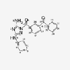 Nc1nc(Nc2ccccc2)nn1C(=O)c1cccc(C(=O)c2ccccc2)c1